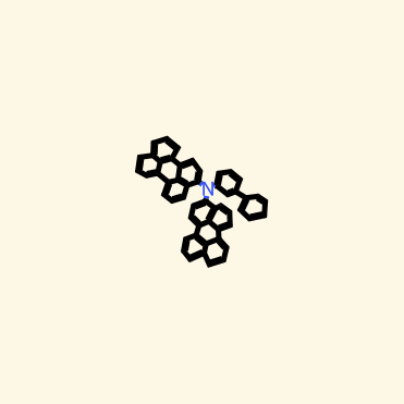 c1ccc(-c2cccc(N(c3ccc4c5cccc6cccc(c7cccc3c74)c65)c3ccc4c5cccc6cccc(c7cccc3c74)c65)c2)cc1